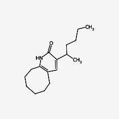 CCCCC(C)c1cc2c([nH]c1=O)CCCCCC2